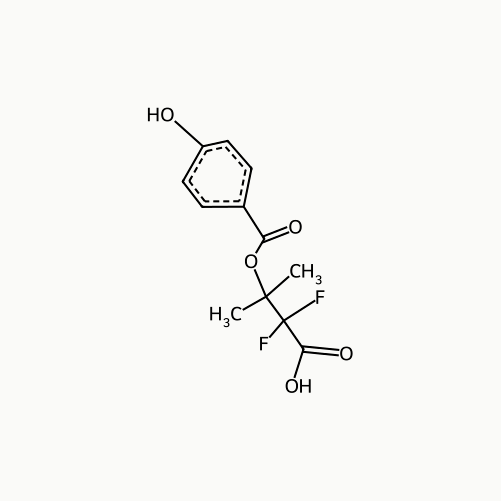 CC(C)(OC(=O)c1ccc(O)cc1)C(F)(F)C(=O)O